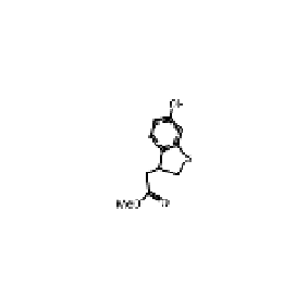 COC(=O)CC1CSc2cc(O)ccc21